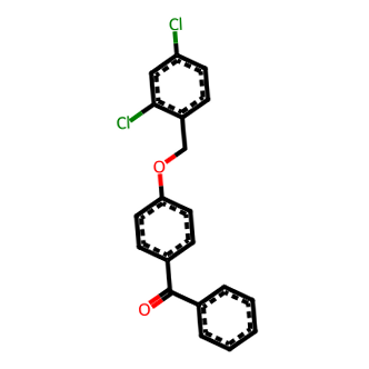 O=C(c1ccccc1)c1ccc(OCc2ccc(Cl)cc2Cl)cc1